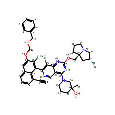 C#Cc1cccc2cc(OCOCc3ccccc3)c(F)c(-c3ncc4c(N5CCC[C@@](C)(O)C5)nc(OC[C@@]56CCCN5C[C@H](F)C6)nc4c3F)c12